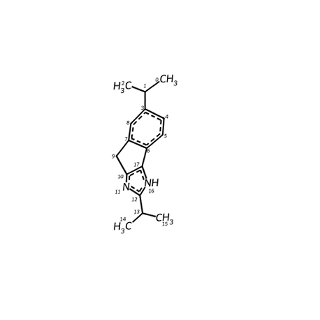 CC(C)c1ccc2c(c1)Cc1nc(C(C)C)[nH]c1-2